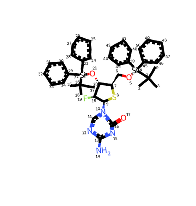 CC(C)(C)[Si](OC[C@H]1S[C@@H](n2cnc(N)nc2=O)[C@@H](F)[C@@H]1O[Si](c1ccccc1)(c1ccccc1)C(C)(C)C)(c1ccccc1)c1ccccc1